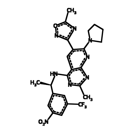 Cc1nc(N[C@H](C)c2cc([N+](=O)[O-])cc(C(F)(F)F)c2)c2cc(-c3noc(C)n3)c(N3CCCC3)nc2n1